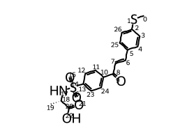 CSc1ccc(/C=C/C(=O)c2ccc(S(=O)(=O)N[C@@H](C)C(=O)O)cc2)cc1